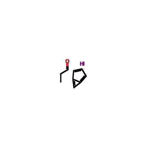 CCC=O.I.c1cc2cc-2c1